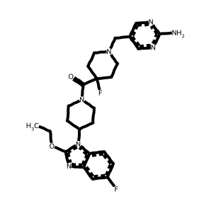 CCOc1nc2cc(F)ccc2n1C1CCN(C(=O)C2(F)CCN(Cc3cnc(N)nc3)CC2)CC1